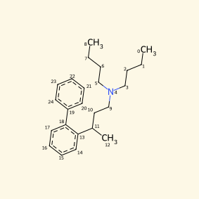 CCCCN(CCCC)CCC(C)c1ccccc1-c1ccccc1